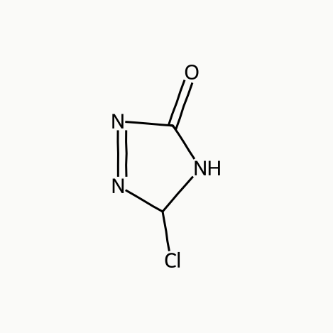 O=C1N=NC(Cl)N1